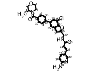 CC1COCCN1C(=O)c1ccc(-c2cc(Cl)c3oc(CNC(=O)C=Cc4ccc(N)nc4)cc3c2)cc1